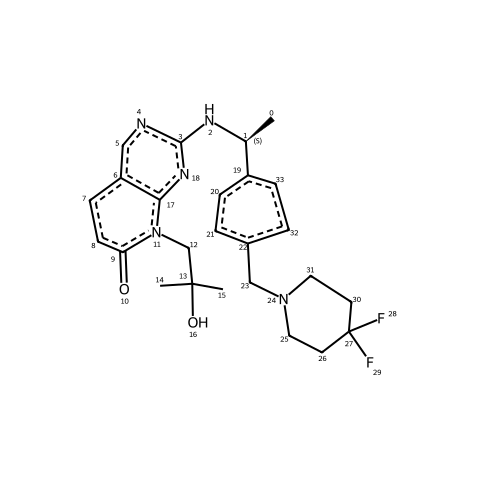 C[C@H](Nc1ncc2ccc(=O)n(CC(C)(C)O)c2n1)c1ccc(CN2CCC(F)(F)CC2)cc1